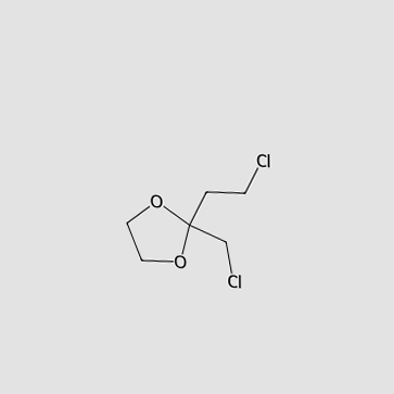 ClCCC1(CCl)OCCO1